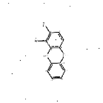 Clc1ccc2c(c1Br)Oc1ccccc1O2